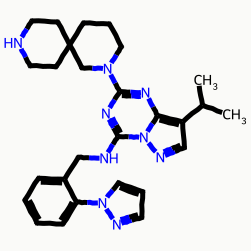 CC(C)c1cnn2c(NCc3ccccc3-n3cccn3)nc(N3CCCC4(CCNCC4)C3)nc12